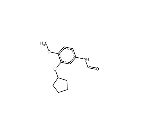 COc1ccc(N[C]=O)cc1OC1CCCC1